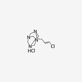 Cl.Cl/C=C/C[N+]12CN3CN(CN(C3)C1)C2